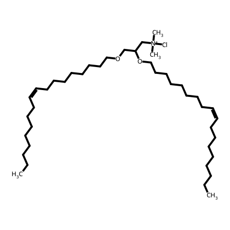 CCCCCCCC/C=C\CCCCCCCCOCC(C[N+](C)(C)Cl)OCCCCCCCC/C=C\CCCCCCCC